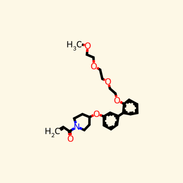 C=CC(=O)N1CCC(Oc2cccc(-c3ccccc3OCCOCCOCCOC)c2)CC1